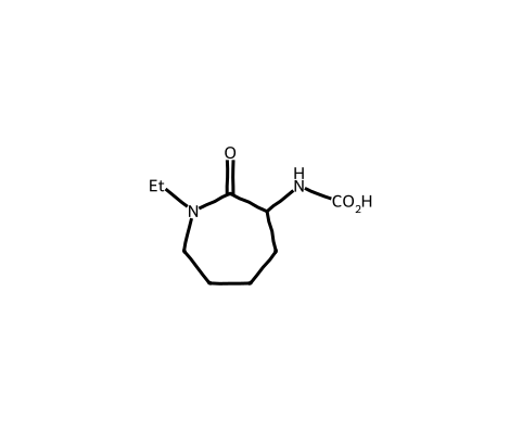 CCN1CCCCC(NC(=O)O)C1=O